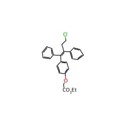 CCOC(=O)COc1ccc(C(=C(CCCl)c2ccccc2)c2ccccc2)cc1